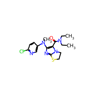 CCN(CC)C(=O)c1c(N(C)c2ccc(Cl)nc2)nc2n1CCS2